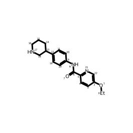 CCOc1ccc(C(=O)Nc2ccc(C3CCCNC3)cc2)nc1